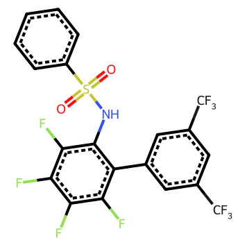 O=S(=O)(Nc1c(F)c(F)c(F)c(F)c1-c1cc(C(F)(F)F)cc(C(F)(F)F)c1)c1ccccc1